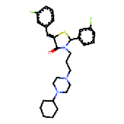 O=C1/C(=C/c2cccc(F)c2)SC(c2cccc(F)c2)N1CCCN1CCN(C2CCCCC2)CC1